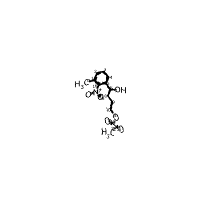 Cc1cccc(C(O)CCCOS(C)(=O)=O)c1[N+](=O)[O-]